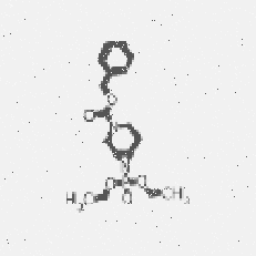 CCOP(=O)(OCC)N1C2CCN(C(=O)OCc3ccccc3)CC21